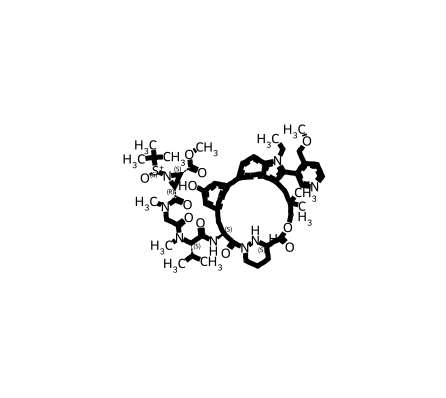 CCn1c(-c2cnccc2COC)c2c3cc(ccc31)-c1cc(O)cc(c1)C[C@H](NC(=O)[C@H](C(C)C)N(C)C(=O)CN(C)C(=O)[C@H]1[C@@H](C(=O)OC)N1[S@+]([O-])C(C)(C)C)C(=O)N1CCC[C@H](N1)C(=O)OCC(C)(C)C2